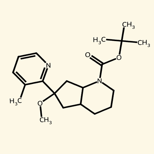 COC1(c2ncccc2C)CC2CCCN(C(=O)OC(C)(C)C)C2C1